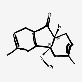 CC1=CCC2=C(C1)[C@@]1(SC(C)C)CC(C)=CC[C@H]1C2=O